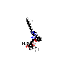 CCCCCCCCCCN1CCN(CC(NC(=O)CCCC2=C(C)C(=O)C(C)=C(C)C2=O)c2ccccc2)CC1